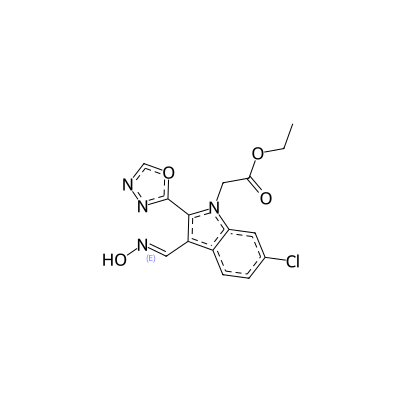 CCOC(=O)Cn1c(-c2nnco2)c(/C=N/O)c2ccc(Cl)cc21